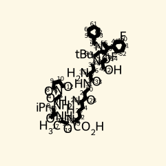 CC(C)[C@H](NC(=O)CN1C(=O)C=CC1=O)C(=O)N[C@@H](C)C(=O)N[C@@H](CCCC(N)C(=O)CCNC(=O)[C@@H](N)CCN(C(=O)CO)[C@@H](c1cc(-c2cc(F)ccc2F)cn1Cc1ccccc1)C(C)(C)C)C(=O)O